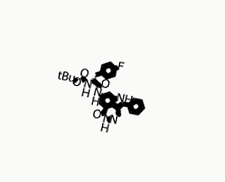 CC(C)(C)OC(=O)N[C@H](Cc1ccc(F)cc1)C(=O)Nc1cc2c3c(c(-c4ccccc4)[nH]c3c1)C=NNC2=O